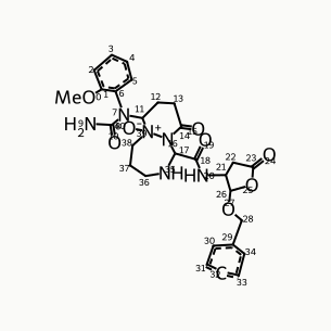 COc1ccccc1N(C(N)=O)C1CCC(=O)N2C(C(=O)NC3CC(=O)OC3OCc3ccccc3)NCCC[N+]12[O-]